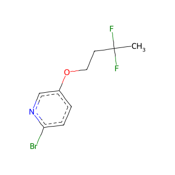 CC(F)(F)CCOc1ccc(Br)nc1